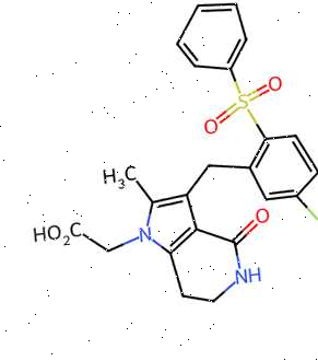 Cc1c(Cc2cc(F)ccc2S(=O)(=O)c2ccccc2)c2c(n1CC(=O)O)CCNC2=O